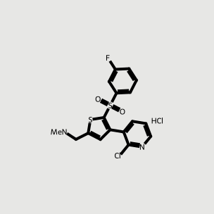 CNCc1cc(-c2cccnc2Cl)c(S(=O)(=O)c2cccc(F)c2)s1.Cl